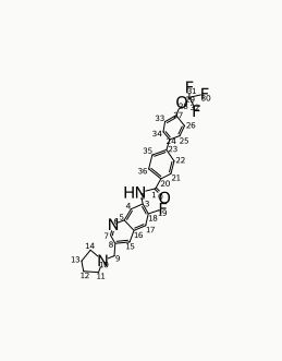 O=C(Nc1cc2ncc(CN3CCCC3)cc2cc1F)c1ccc(-c2ccc(OC(F)(F)F)cc2)cc1